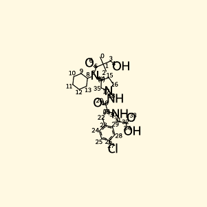 CC(C)(CO)C(=O)N(C1CCCCC1)[C@H]1CCN(NC(=O)[C@@H](Cc2ccc(Cl)cc2)NCC(=O)O)C1